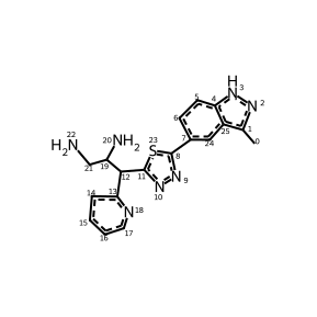 Cc1n[nH]c2ccc(-c3nnc(C(c4ccccn4)C(N)CN)s3)cc12